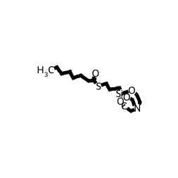 CCCCCCCC(=O)SCCC[Si]12OCCN(CCO1)CCO2